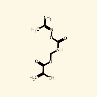 C=C(C)C(=O)OCNC(=O)ON=C(C)C